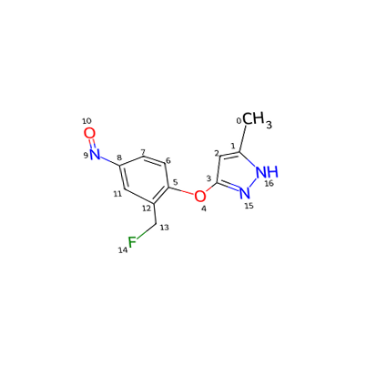 Cc1cc(Oc2ccc(N=O)cc2CF)n[nH]1